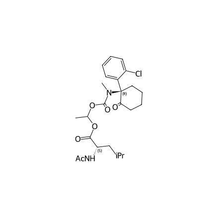 CC(=O)N[C@@H](CC(C)C)C(=O)OC(C)OC(=O)N(C)[C@@]1(c2ccccc2Cl)CCCCC1=O